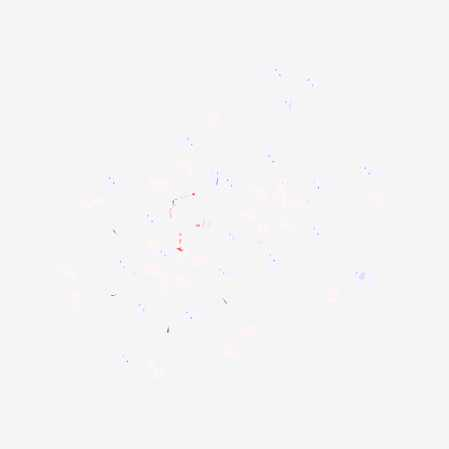 CC(=O)N[C@@H](CCC(N)=O)C(=O)N[C@@H](CCC(N)=O)C(=O)N[C@@H](CCCNC(=N)N)C(=O)N[C@@H](CCC(N)=O)C(=O)N[C@@H](CCC(=O)O)C(=O)N[C@@H](CCC(N)=O)C(=O)N[C@@H](CCC(=O)O)C(=O)N[C@@H](CCC(N)=O)C(=O)N[C@@H](CCC(=O)O)C(=O)N[C@@H](CCC(N)=O)C(=O)N[C@@H](CCC(N)=O)C(C)=O